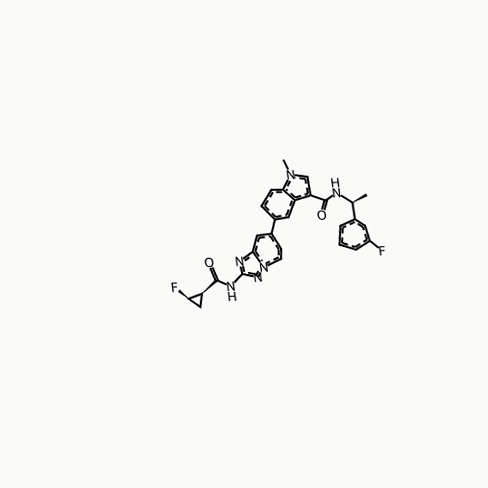 C[C@H](NC(=O)c1cn(C)c2ccc(-c3ccn4nc(NC(=O)[C@H]5C[C@H]5F)nc4c3)cc12)c1cccc(F)c1